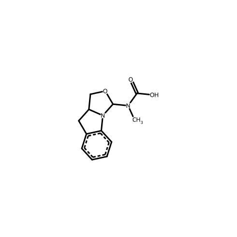 CN(C(=O)O)C1OCC2Cc3ccccc3N21